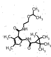 Cc1sc(NC(=O)C2C(C)(C)C2(C)C)c(C(=O)NCCOC(C)C)c1C